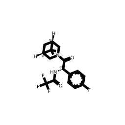 CC1(C)[C@@H]2C[C@H]1CN(C(=O)[C@@H](NC(=O)C(F)(F)F)c1ccc(F)cc1)C2